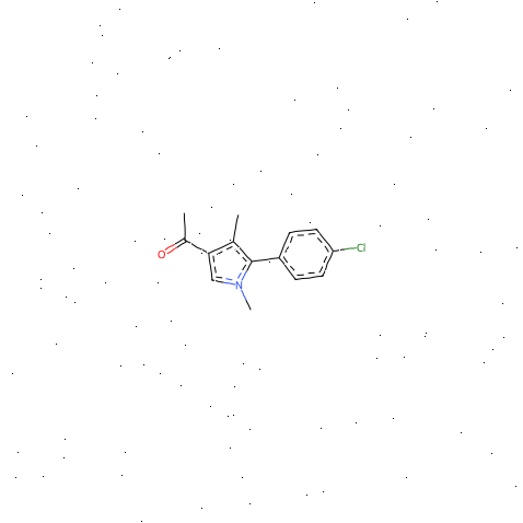 CC(=O)c1cn(C)c(-c2ccc(Cl)cc2)c1C